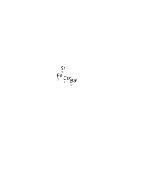 [Ba].[Co].[Fe].[Sr]